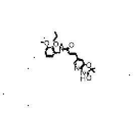 CCCOc1c(CN(C)C(=O)/C=C/c2cnc3c(c2)OC(C)(C)C(=O)N3)cccc1OC